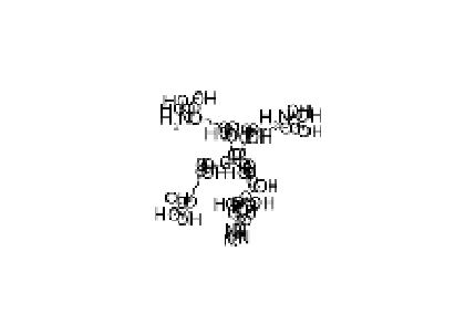 Cc1ncnc2c1ncn2[C@H]1C[C@H](OP(=O)(O)OCOCC(CO)COCOP(=O)(O)OCC(COCCCOP(=O)(O)OCCCCCCO[C@@H]2OC(CO)[C@H](O)C(O)[C@@H]2C)(COCCCOP(=O)(O)OCCCCCCO[C@@H]2OC(CO)[C@H](O)C(O)[C@@H]2N)COCCCOP(=O)(O)OCCCCCCO[C@@H]2OC(CO)[C@H](O)C(O)[C@@H]2N)[C@@H](COP(C)(=O)O)O1